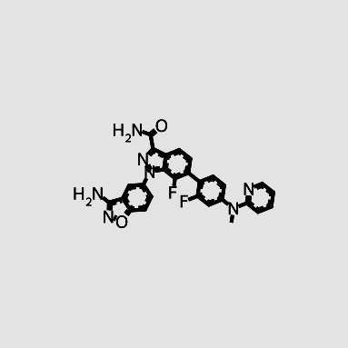 CN(c1ccc(-c2ccc3c(C(N)=O)nn(-c4ccc5onc(N)c5c4)c3c2F)c(F)c1)c1ccccn1